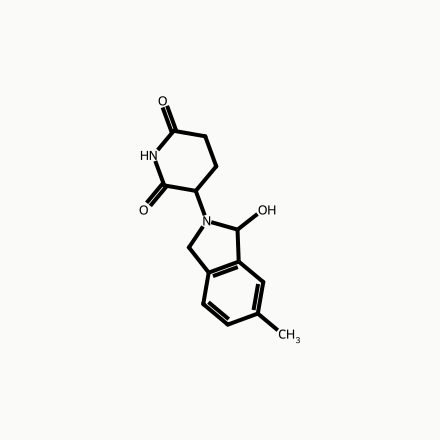 Cc1ccc2c(c1)C(O)N(C1CCC(=O)NC1=O)C2